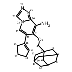 Nc1c(OCC23CC4CC(CC(C4)C2)C3)c(C2=CCCC2)cn2cnnc12